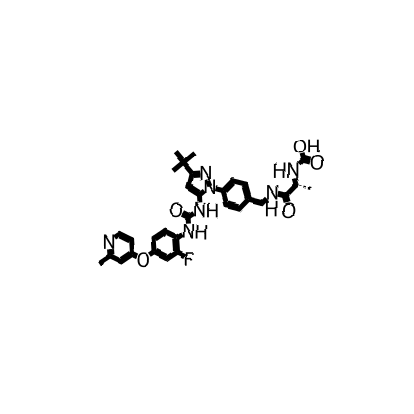 Cc1cc(Oc2ccc(NC(=O)Nc3cc(C(C)(C)C)nn3-c3ccc(CNC(=O)[C@@H](C)NC(=O)O)cc3)c(F)c2)ccn1